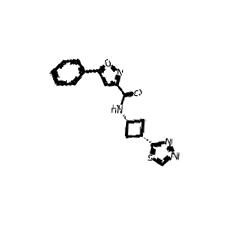 O=C(N[C@H]1C[C@@H](c2nncs2)C1)c1cc(-c2ccccc2)on1